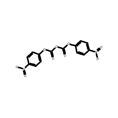 O=C(OC(=O)Oc1ccc([N+](=O)[O-])cc1)Oc1ccc([N+](=O)[O-])cc1